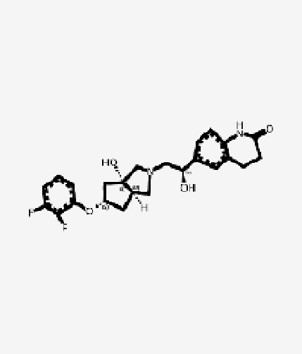 O=C1CCc2cc([C@@H](O)CN3C[C@H]4C[C@H](Oc5cccc(F)c5F)C[C@@]4(O)C3)ccc2N1